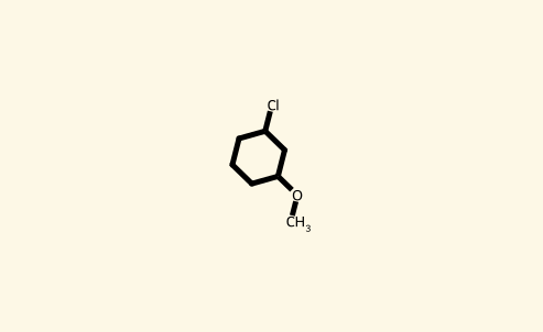 COC1CCCC(Cl)C1